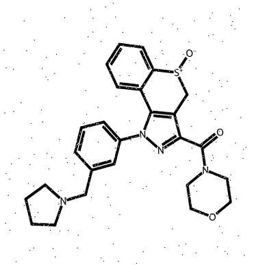 O=C(c1nn(-c2cccc(CN3CCCC3)c2)c2c1C[S+]([O-])c1ccccc1-2)N1CCOCC1